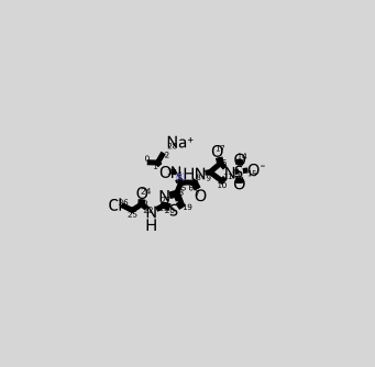 CC(C)O/N=C(/C(=O)NC1CN(S(=O)(=O)[O-])C1=O)c1csc(NC(=O)CCl)n1.[Na+]